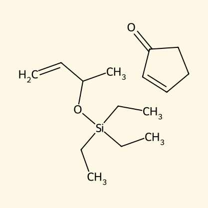 C=CC(C)O[Si](CC)(CC)CC.O=C1C=CCC1